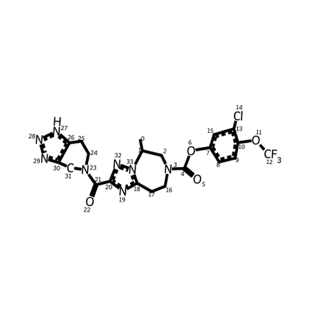 CC1CN(C(=O)Oc2ccc(OC(F)(F)F)c(Cl)c2)CCc2nc(C(=O)N3CCc4[nH]nnc4C3)nn21